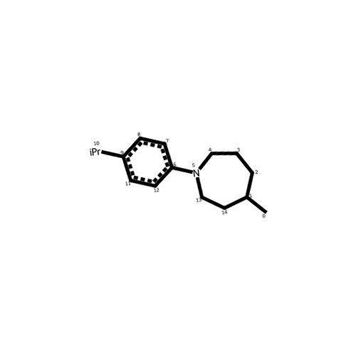 CC1CCCN(c2ccc(C(C)C)cc2)CC1